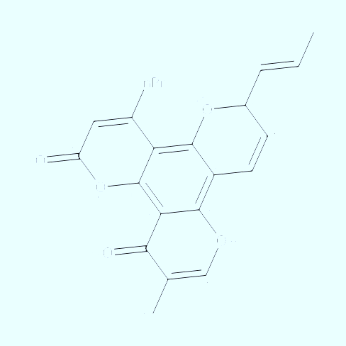 CC=CC1C=Cc2c(c3c(CCC)[c]c(=O)oc3c3c(=O)c(C)coc23)O1